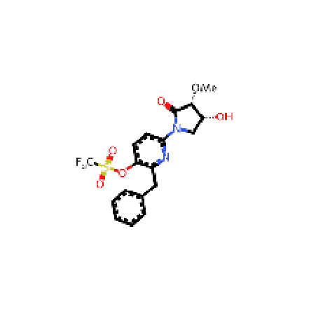 CO[C@H]1C(=O)N(c2ccc(OS(=O)(=O)C(F)(F)F)c(Cc3ccccc3)n2)C[C@H]1O